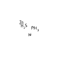 P.S.[Ni].[Zn]